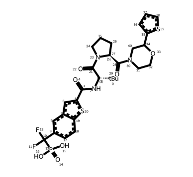 CC(C)(C)[C@H](NC(=O)c1cc2cc(C(F)(F)P(=O)(O)O)ccc2s1)C(=O)N1CCC[C@H]1C(=O)N1CCOC(c2cccs2)C1